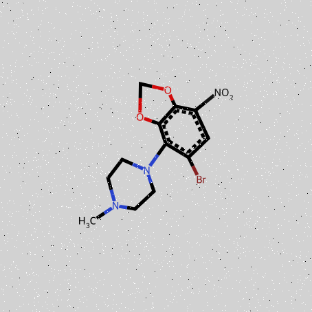 CN1CCN(c2c(Br)cc([N+](=O)[O-])c3c2OCO3)CC1